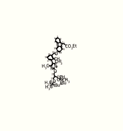 CCOC(=O)CC1c2ccccc2-c2cc(OCc3cccc(-c4c(C)nc(OCC(CO[Si](C)(C)C(C)(C)C)CO[Si](C)(C)C(C)(C)C)nc4C)c3C)ccc21